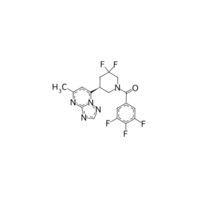 Cc1cc([C@@H]2CN(C(=O)c3cc(F)c(F)c(F)c3)CC(F)(F)C2)n2ncnc2n1